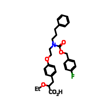 CCOC(Cc1ccc(OCCN(CCCc2ccccc2)C(=O)OCc2ccc(F)cc2)cc1)C(=O)O